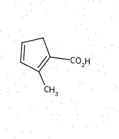 CC1=C(C(=O)O)CC=C1